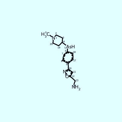 CN1CCC([AsH]c2ccc(-c3cc(CN)on3)cc2)CC1